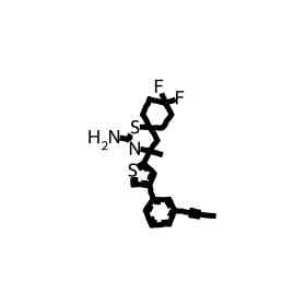 CC#Cc1cccc(-c2csc(C3(C)CC4(CCC(F)(F)CC4)SC(N)=N3)c2)c1